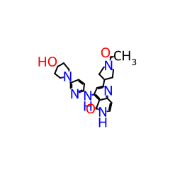 CC(=O)N1CCC(c2cc(Nc3ccc(N4CCC(O)CC4)cn3)c3c(=O)[nH]ccc3n2)CC1